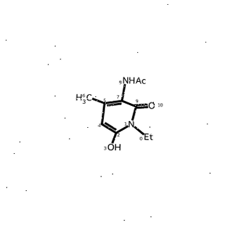 CCn1c(O)cc(C)c(NC(C)=O)c1=O